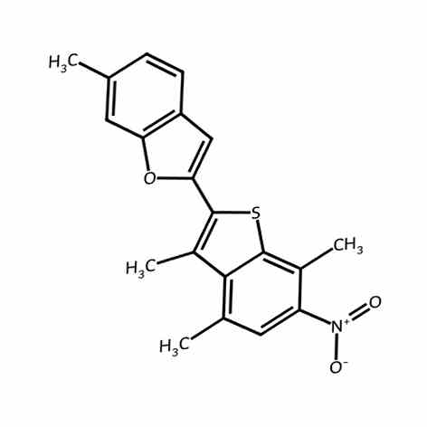 Cc1ccc2cc(-c3sc4c(C)c([N+](=O)[O-])cc(C)c4c3C)oc2c1